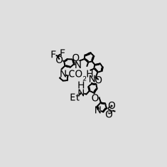 CCNCc1cc2nc(-c3cccc(-c4cccc(-c5nc6cc(CN7CCC[C@H]7C(=O)O)c(OC(F)F)cc6o5)c4C)c3C)oc2cc1OCc1cncc(S(C)(=O)=O)c1